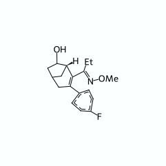 CCC(=NOC)C1=C(c2ccc(F)cc2)CC2CC(O)[C@H]1C2